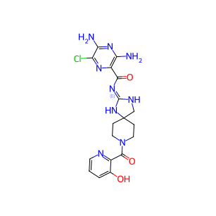 Nc1nc(N)c(C(=O)/N=C2\NCC3(CCN(C(=O)c4ncccc4O)CC3)N2)nc1Cl